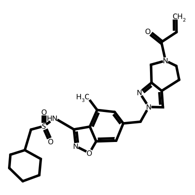 C=CC(=O)N1CCc2cn(Cc3cc(C)c4c(NS(=O)(=O)CC5CCCCC5)noc4c3)nc2C1